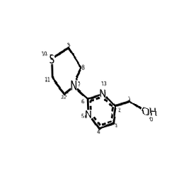 OCc1ccnc(N2CCSCC2)n1